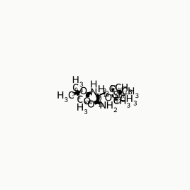 CC(C)(C)OC(=O)N[C@@H](CO[Si](C)(C)C(C)(C)C)C(N)=O